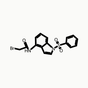 O=C(CBr)Nc1cccc2c1ccn2S(=O)(=O)c1ccccc1